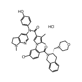 Cc1c(C(=O)N(c2ccc(O)cc2)c2cnc3c(c2)CCN3C)cn(-c2cc(Cl)ccc2C(=O)N2Cc3ccccc3C[C@H]2CN2CCOCC2)c1C.Cl